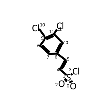 O=S(=O)(Cl)C=Cc1ccc(Cl)c(Cl)c1